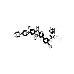 COc1cc(N2CCC(N3CCOCC3)CC2)c(F)cc1Nc1ncc(-c2ccc(C#N)c(O[C@@H](C)Cn3cnnn3)c2)cn1